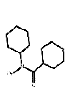 CC(C)N(C(=O)C1CCCCC1)C1CCCCC1